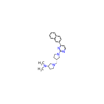 CN(C)[C@@H]1CCN(C[C@@H]2CCN(c3nccc(-c4ccc5ccccc5c4)n3)C2)C1